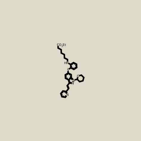 CCOC(=O)CCCCCCNc1ccccc1Sc1ccc2c(C=Cc3ccccn3)nn(C3CCCCO3)c2c1